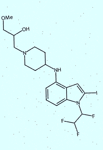 COCC(O)CN1CCC(Nc2cccc3c2cc(I)n3C(F)C(F)F)CC1